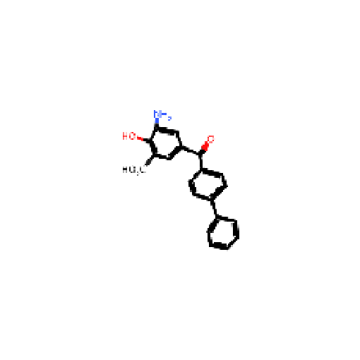 Nc1cc(C(=O)c2ccc(-c3ccccc3)cc2)cc(C(=O)O)c1O